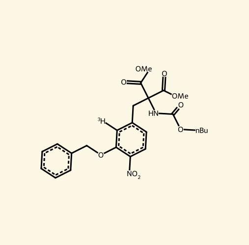 [3H]c1c(CC(NC(=O)OCCCC)(C(=O)OC)C(=O)OC)ccc([N+](=O)[O-])c1OCc1ccccc1